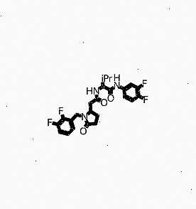 CC(C)C(NC(=O)CC1CCC(=O)N1Cc1cccc(F)c1F)C(=O)Nc1ccc(F)c(F)c1